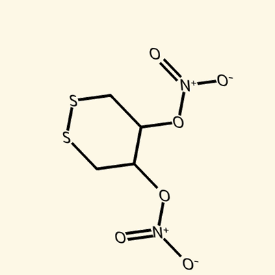 O=[N+]([O-])OC1CSSCC1O[N+](=O)[O-]